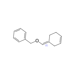 C1=CC/C(=C/OCc2ccccc2)CC1